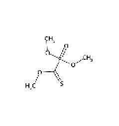 COC(=S)P(=O)(OC)OC